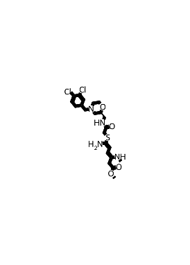 CN/C(=C\C=C(/N)SCC(=O)NC[C@H]1CN(CC2C=C(Cl)C(Cl)=CC2)CCO1)CC(=O)OC